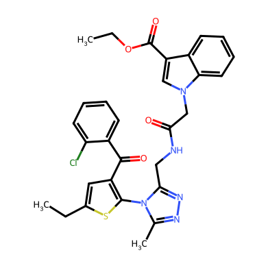 CCOC(=O)c1cn(CC(=O)NCc2nnc(C)n2-c2sc(CC)cc2C(=O)c2ccccc2Cl)c2ccccc12